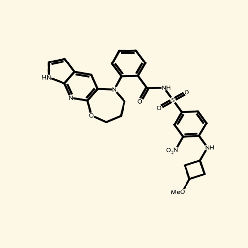 COC1CC(Nc2ccc(S(=O)(=O)NC(=O)c3ccccc3N3CCCOc4nc5[nH]ccc5cc43)cc2[N+](=O)[O-])C1